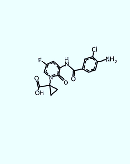 Nc1ccc(C(=O)Nc2cc(F)cn(C3(C(=O)O)CC3)c2=O)cc1Cl